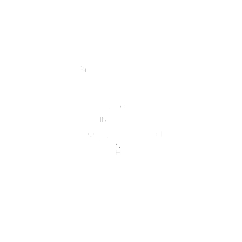 O=C(Nc1c(C(=O)c2ccccc2)[nH]c2cc(Cl)ccc12)c1ccc(Br)cc1